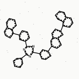 c1ccc(-c2nc(-c3cccc(-c4ccc5cc(-c6cccc7ccccc67)ccc5c4)c3)nc(-c3cccc(-c4cccc5ccccc45)c3)n2)cc1